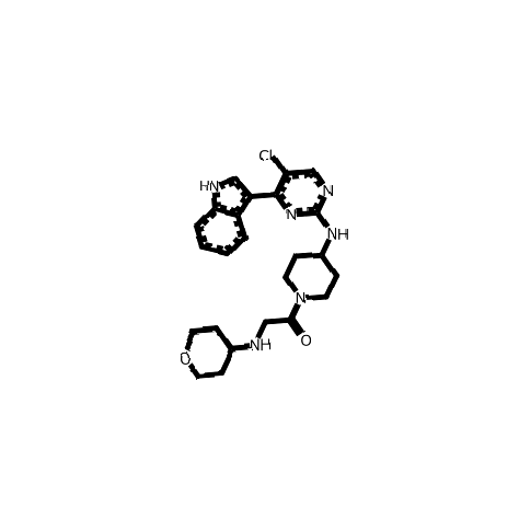 O=C(CNC1CCOCC1)N1CCC(Nc2ncc(Cl)c(-c3c[nH]c4ccccc34)n2)CC1